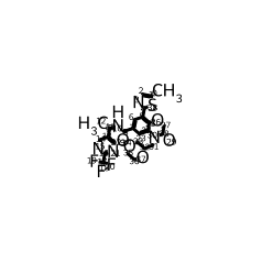 Cc1cnc(-c2cc(C(=O)N[C@H](C)c3cnc(C(F)(F)F)nc3)cc3c2OCC(=O)N3CC2COCCO2)s1